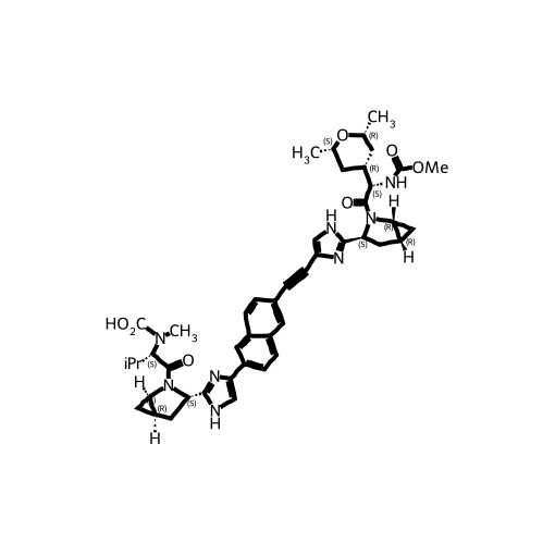 COC(=O)N[C@H](C(=O)N1[C@@H]2C[C@@H]2C[C@H]1c1nc(C#Cc2ccc3cc(-c4c[nH]c([C@@H]5C[C@H]6C[C@H]6N5C(=O)[C@H](C(C)C)N(C)C(=O)O)n4)ccc3c2)c[nH]1)[C@H]1C[C@@H](C)O[C@@H](C)C1